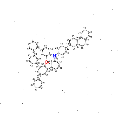 c1ccc(-c2ccc(N(c3ccc(-c4ccc5c(ccc6ccccc65)c4)cc3)c3cccc4c3oc3c(-c5ccccc5)cc(-c5ccccc5)cc34)cc2)cc1